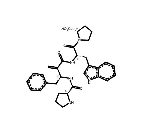 C=C(C(=O)N[C@@H](Cc1c[nH]c2ccccc12)C(=O)N1CCC[C@H]1C(=O)O)[C@H](Cc1ccccc1)NC(=O)[C@@H]1CCCN1